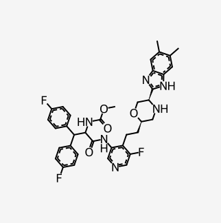 COC(=O)NC(C(=O)Nc1cncc(F)c1CC[C@@H]1CN[C@H](c2nc3cc(C)c(C)cc3[nH]2)CO1)C(c1ccc(F)cc1)c1ccc(F)cc1